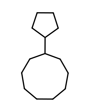 C1CCCCC(C2CCCC2)CCC1